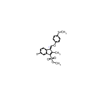 COS(=O)(=O)C1=C(C)/C(=C\Oc2ccc(SC)cc2)c2ccc(F)cc21